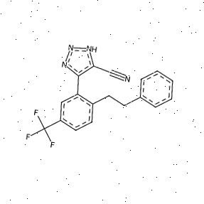 N#Cc1[nH]nnc1-c1cc(C(F)(F)F)ccc1CCc1ccccc1